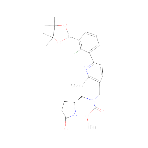 COc1nc(-c2cccc(B3OC(C)(C)C(C)(C)O3)c2Cl)ccc1CN(C[C@@H]1CCC(=O)N1)C(=O)OC(C)(C)C